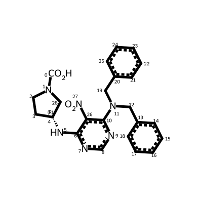 O=C(O)N1CC[C@@H](Nc2ncnc(N(Cc3ccccc3)Cc3ccccc3)c2[N+](=O)[O-])C1